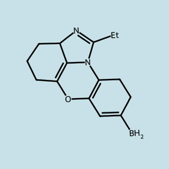 BC1=CC2=C(CC1)N1C(CC)=NC3CCCC(=C31)O2